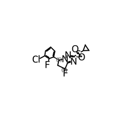 O=S(=O)(c1nc2n(n1)[C@H](c1cccc(Cl)c1F)C[C@@H]2F)C1CC1